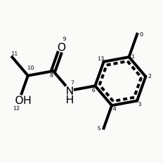 Cc1ccc(C)c(NC(=O)C(C)O)c1